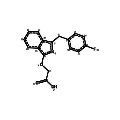 O=C(O)COc1nn(Cc2ccc(F)cc2)c2ccccc12